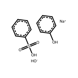 O=S(=O)(O)c1ccccc1.Oc1ccccc1.[Na+].[OH-]